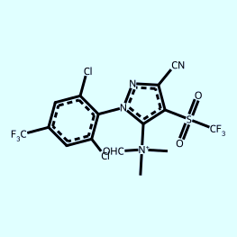 C[N+](C)(C=O)c1c(S(=O)(=O)C(F)(F)F)c(C#N)nn1-c1c(Cl)cc(C(F)(F)F)cc1Cl